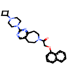 O=C(COc1cccc2ccccc12)N1CCc2cnc(N3CCN(C4CCC4)CC3)nc2CC1